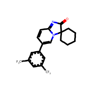 O=C1N=C2C=CC(c3cc(C(F)(F)F)cc(C(F)(F)F)c3)=CN2C12CCCCC2